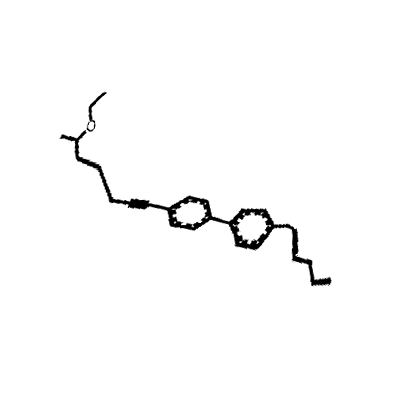 CCCC=Cc1ccc(-c2ccc(C#CCCCC(C)OCC)cc2)cc1